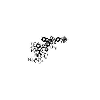 CC[C@@H](C)[C@@H]([C@@H](CC(=O)N1CCC[C@H]1[C@H](OC)[C@@H](C)C(=O)N[C@@H](Cc1ccccc1)C(=O)NS(=O)(=O)c1ccc(NC(=O)C(F)(F)F)cc1)OC)N(C)C(=O)[C@@H](NC(=O)OC(C)(C)C)C(C)C